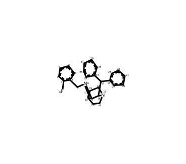 Fc1ccccc1C/N=C1\C2CCN(CC2)C1C(c1ccccc1)c1ccccc1